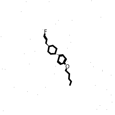 CCCCCOc1ccc([C@H]2CC[C@H](C/C=C/F)CC2)cc1